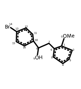 COc1ccccc1CC(O)c1ccc(Br)cc1